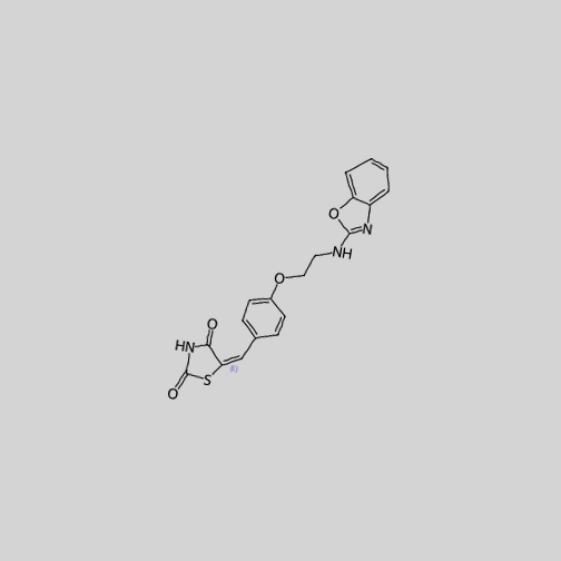 O=C1NC(=O)/C(=C\c2ccc(OCCNc3nc4ccccc4o3)cc2)S1